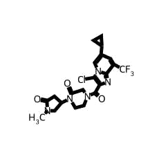 CN1CC(N2CCN(C(=O)c3nc4c(C(F)(F)F)cc(C5CC5)cn4c3Cl)CC2=O)CC1=O